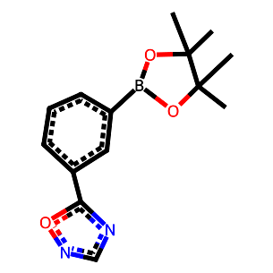 CC1(C)OB(c2cccc(-c3ncno3)c2)OC1(C)C